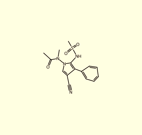 CC(=O)N(C)n1cc(C#N)c(-c2ccccc2)c1NS(C)(=O)=O